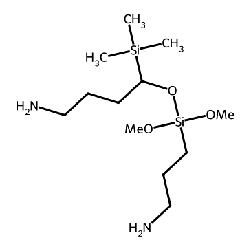 CO[Si](CCCN)(OC)OC(CCCN)[Si](C)(C)C